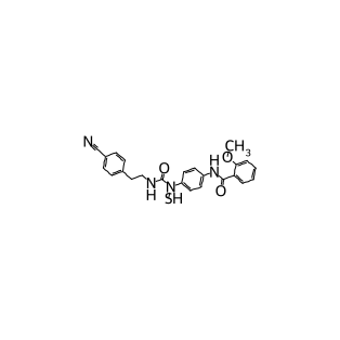 COc1ccccc1C(=O)Nc1ccc(N(S)C(=O)NCCc2ccc(C#N)cc2)cc1